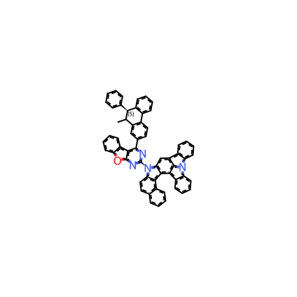 CC1c2cc(-c3nc(-n4c5ccc6ccccc6c5c5c6c7ccccc7n7c8ccccc8c(cc54)c67)nc4oc5ccccc5c34)ccc2-c2ccccc2[C@@H]1c1ccccc1